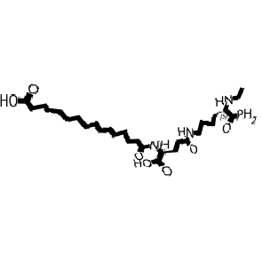 CCN[C@@H](CCCCNC(=O)CC[C@H](NC(=O)CCCCCCCCCCCCCCC(=O)O)C(=O)O)C(=O)P